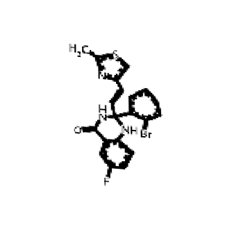 Cc1nc(C=CC2(c3ccccc3Br)NC(=O)c3cc(F)ccc3N2)cs1